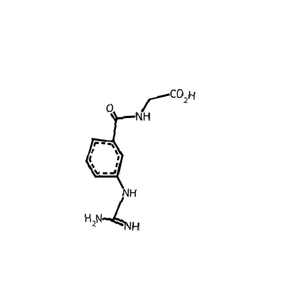 N=C(N)Nc1cccc(C(=O)NCC(=O)O)c1